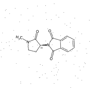 CN1CC[C@H](N2C(=O)c3ccccc3C2=O)C1=O